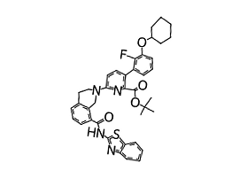 CC(C)(C)OC(=O)c1nc(N2CCc3cccc(C(=O)Nc4nc5ccccc5s4)c3C2)ccc1-c1cccc(OC2CCCCC2)c1F